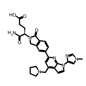 Cn1cnc(-n2ccc3c(CN4CCCC4)cc(-c4ccc5c(c4)CN([C@H](CCC(=O)O)C(N)=O)C5=O)nc32)c1